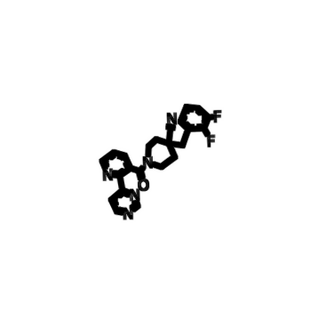 N#CC1(Cc2cccc(F)c2F)CCN(C(=O)c2cccnc2-c2ccncn2)CC1